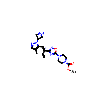 C=C/C(=C\c1c(C)cnn1C1CNC1)c1noc(N2CCN(C(=O)OC(C)(C)C)CC2)n1